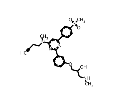 C#CCCN(C)c1cc(-c2ccc(S(C)(=O)=O)cc2)nc(-c2cccc(OCC(O)CNC)c2)n1